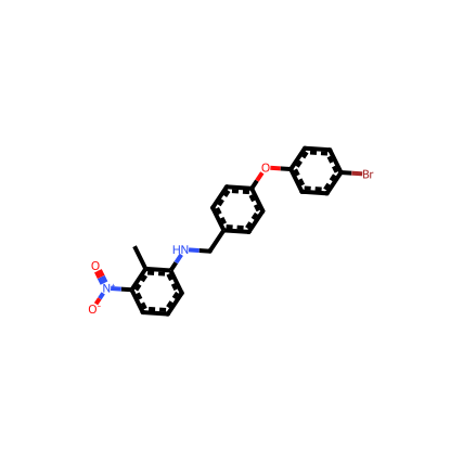 Cc1c(NCc2ccc(Oc3ccc(Br)cc3)cc2)cccc1[N+](=O)[O-]